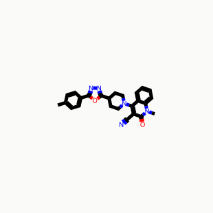 Cc1ccc(-c2nnc(C3CCN(c4c(C#N)c(=O)n(C)c5ccccc45)CC3)o2)cc1